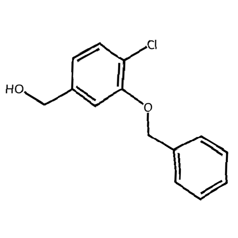 OCc1ccc(Cl)c(OCc2ccccc2)c1